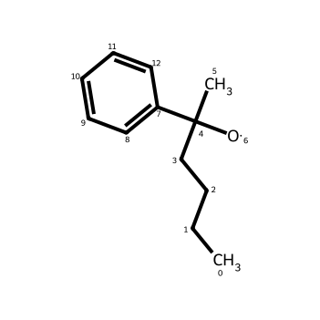 CCCCC(C)([O])c1ccccc1